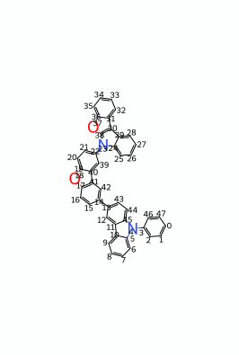 c1ccc(-n2c3ccccc3c3cc(-c4ccc5oc6ccc(-n7c8ccccc8c8c9ccccc9oc87)cc6c5c4)ccc32)cc1